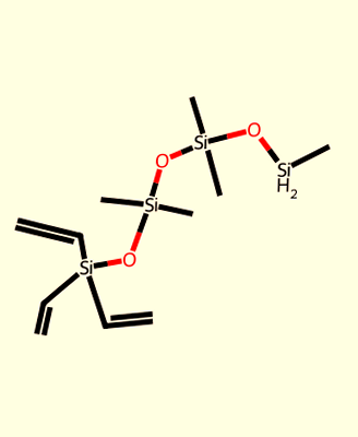 C=C[Si](C=C)(C=C)O[Si](C)(C)O[Si](C)(C)O[SiH2]C